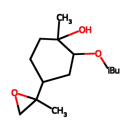 CCC(C)OC1CC(C2(C)CO2)CCC1(C)O